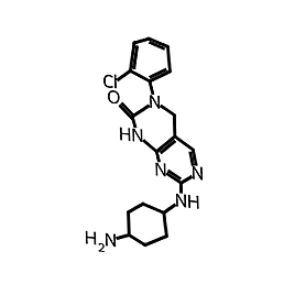 NC1CCC(Nc2ncc3c(n2)NC(=O)N(c2ccccc2Cl)C3)CC1